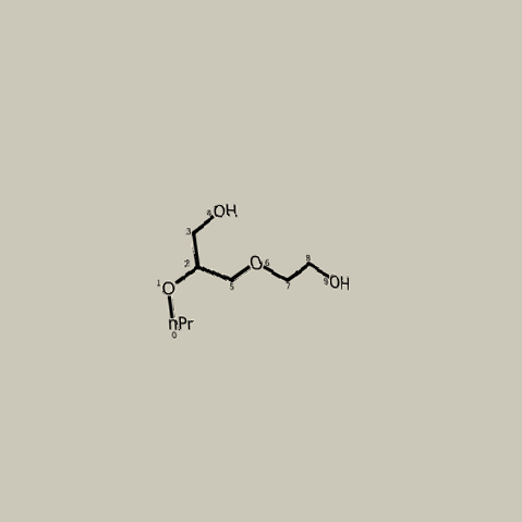 CCCOC(CO)COCCO